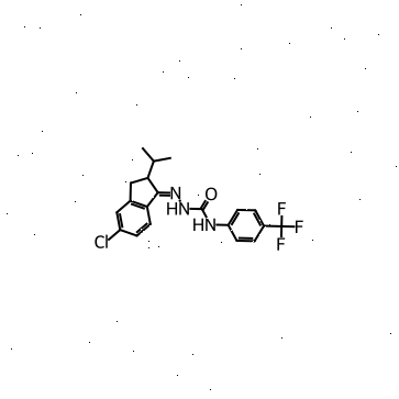 CC(C)C1Cc2cc(Cl)ccc2C1=NNC(=O)Nc1ccc(C(F)(F)F)cc1